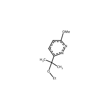 CCOC(C)(C)c1ccc(OC)nn1